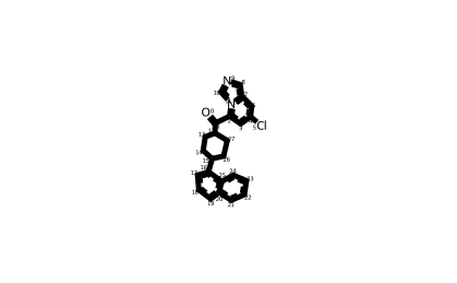 O=C(c1cc(Cl)cc2cncn12)C1CCC(c2cccc3ccccc23)CC1